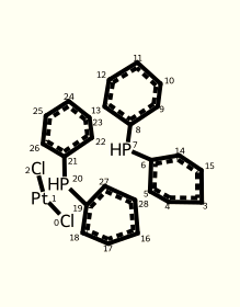 [Cl][Pt][Cl].c1ccc(Pc2ccccc2)cc1.c1ccc(Pc2ccccc2)cc1